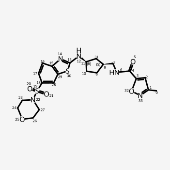 Cc1cc(C(=O)NC[C@H]2CC[C@@H](Nc3nc4ccc(S(=O)(=O)N5CCOCC5)cc4s3)C2)on1